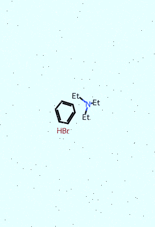 Br.CCN(CC)CC.c1ccccc1